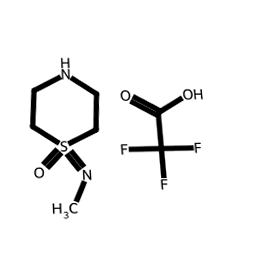 CN=S1(=O)CCNCC1.O=C(O)C(F)(F)F